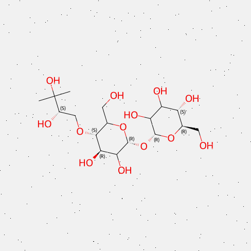 CC(C)(O)[C@@H](O)CO[C@@H]1C(CO)O[C@H](O[C@H]2O[C@H](CO)[C@@H](O)C(O)C2O)C(O)[C@H]1O